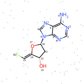 Nc1ncnc2c1ncn2[C@H]1C[C@H](O)/C(=C/F)O1